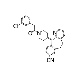 N#Cc1ccc2c(c1)CCc1cccnc1C2=C1CCN(C(=O)Cc2cccc(Cl)c2)CC1